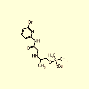 CC(CO[Si](C)(C)C(C)(C)C)NCC(=O)Nc1cccc(Br)n1